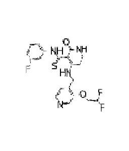 O=C1NCCC(NCc2ccncc2OCC(F)F)=C1C(=S)Nc1cccc(F)c1